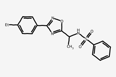 CCc1ccc(-c2noc(C(C)NS(=O)(=O)c3ccccc3)n2)cc1